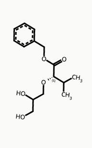 CC(C)[C@H](OCC(O)CO)C(=O)OCc1ccccc1